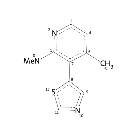 CNc1nccc(C)c1-c1cncs1